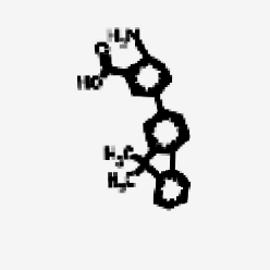 CC1(C)c2ccccc2-c2ccc(-c3ccc(N)c(C(=O)O)c3)cc21